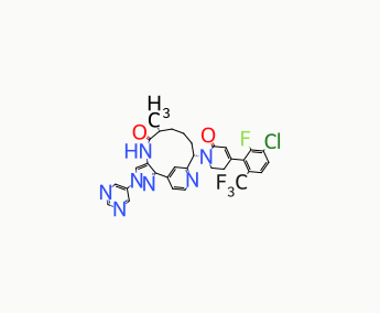 C[C@@H]1CCC[C@H](N2CCC(c3c(C(F)(F)F)ccc(Cl)c3F)=CC2=O)c2cc(ccn2)-c2nn(-c3cncnc3)cc2NC1=O